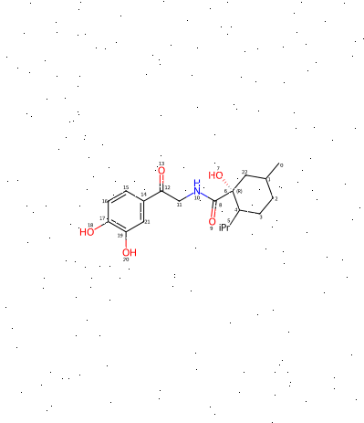 CC1CCC(C(C)C)[C@@](O)(C(=O)NCC(=O)c2ccc(O)c(O)c2)C1